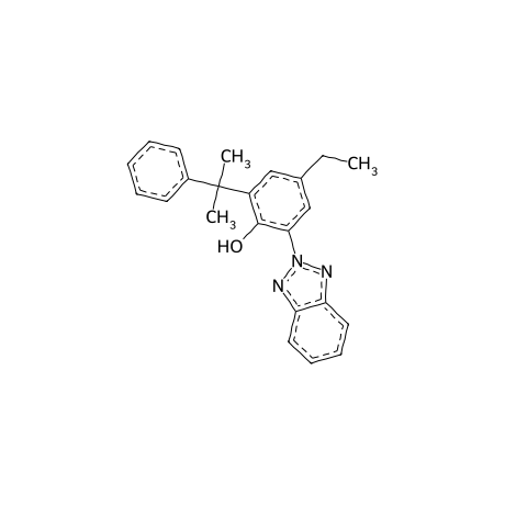 CCc1cc(-n2nc3ccccc3n2)c(O)c(C(C)(C)c2ccccc2)c1